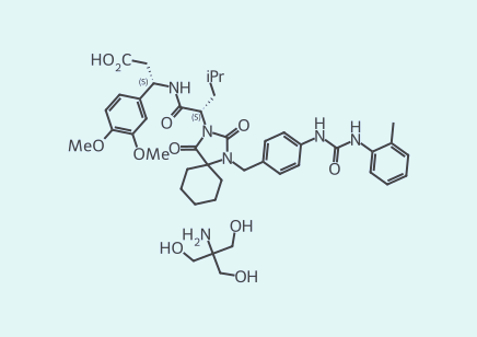 COc1ccc([C@H](CC(=O)O)NC(=O)[C@H](CC(C)C)N2C(=O)N(Cc3ccc(NC(=O)Nc4ccccc4C)cc3)C3(CCCCC3)C2=O)cc1OC.NC(CO)(CO)CO